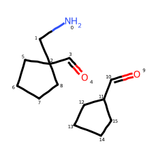 NCC1(C=O)CCCC1.O=CC1CCCC1